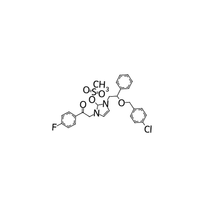 CS(=O)(=O)OC1N(CC(=O)c2ccc(F)cc2)C=CN1CC(OCc1ccc(Cl)cc1)c1ccccc1